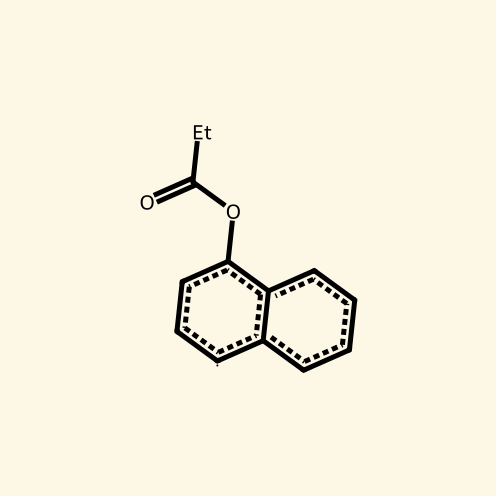 CCC(=O)Oc1cc[c]c2ccccc12